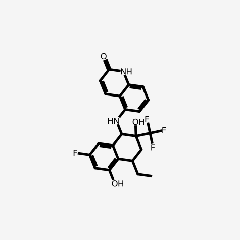 CCC1CC(O)(C(F)(F)F)C(Nc2cccc3[nH]c(=O)ccc23)c2cc(F)cc(O)c21